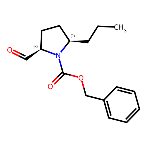 CCC[C@@H]1CC[C@H](C=O)N1C(=O)OCc1ccccc1